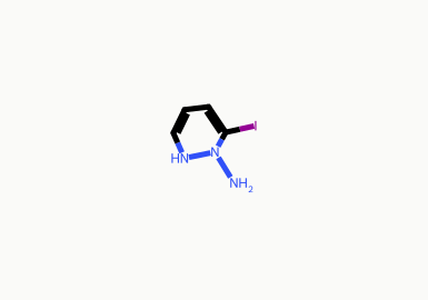 NN1NC=CC=C1I